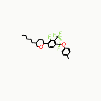 CCCCCC1CCC(c2ccc(C(F)(F)Oc3ccc(C)cc3)c(C(F)(F)F)c2F)OC1